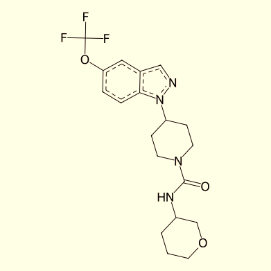 O=C(NC1CCCOC1)N1CCC(n2ncc3cc(OC(F)(F)F)ccc32)CC1